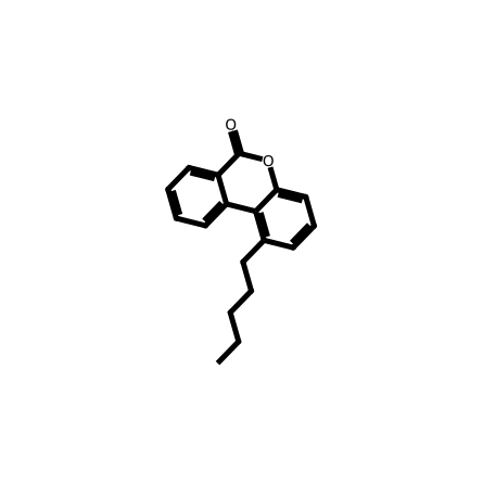 CCCCCc1cccc2oc(=O)c3ccccc3c12